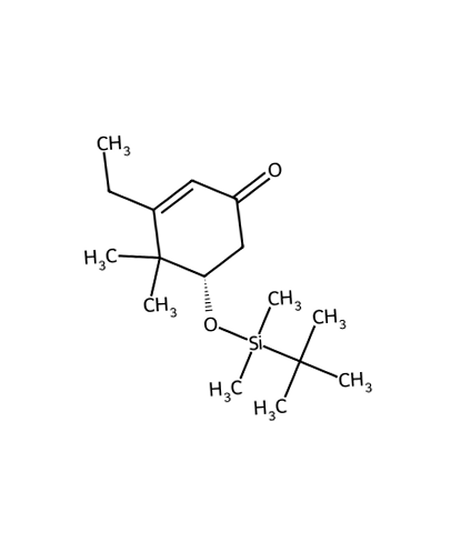 CCC1=CC(=O)C[C@H](O[Si](C)(C)C(C)(C)C)C1(C)C